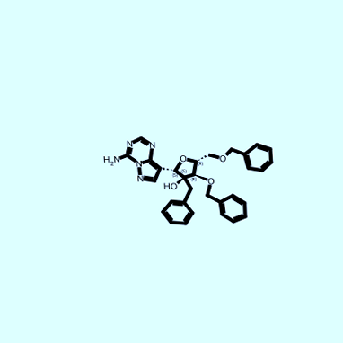 Nc1ncnc2c([C@@H]3O[C@H](COCc4ccccc4)[C@@H](OCc4ccccc4)[C@]3(O)Cc3ccccc3)cnn12